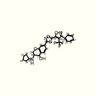 OC1c2ccc(-c3noc(-c4onc(-c5ccccc5)c4C(F)(F)F)n3)cc2OCC1NC1CCCC1